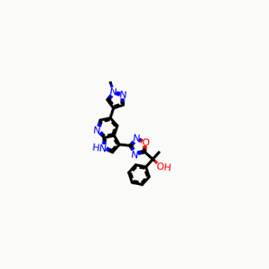 Cn1cc(-c2cnc3[nH]cc(-c4noc(C(C)(O)c5ccccc5)n4)c3c2)cn1